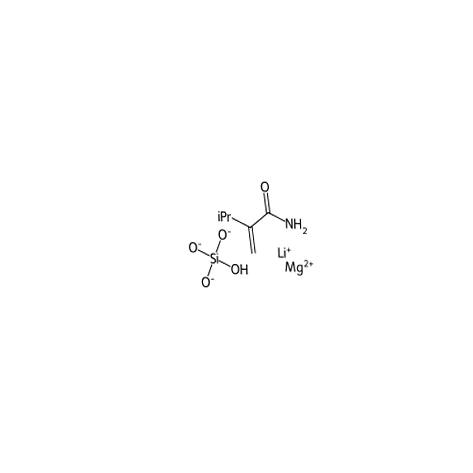 C=C(C(N)=O)C(C)C.[Li+].[Mg+2].[O-][Si]([O-])([O-])O